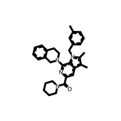 Cc1cccc(Cn2c(C)c(C)c3cc(C(=O)N4CCCCC4)nc(N4CCc5ccccc5C4)c32)c1